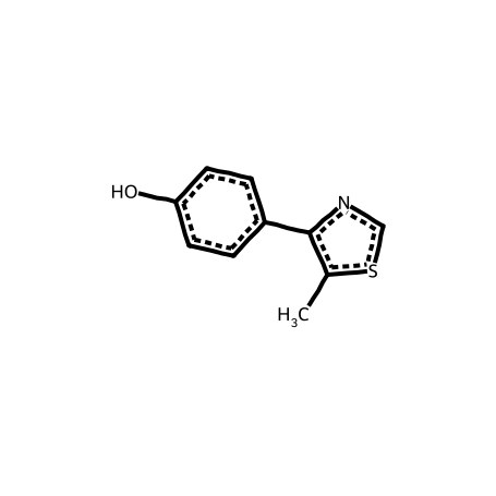 Cc1scnc1-c1ccc(O)cc1